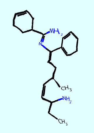 CCC(N)/C=C\[C@H](C)CCC(/N=C(\N)C1CC=CCC1)C1=CCCC=C1